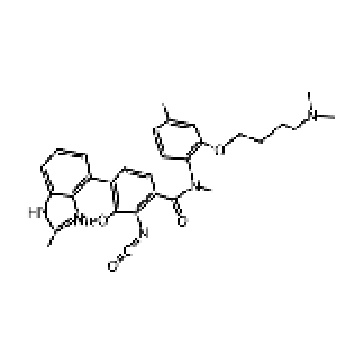 COc1c(-c2cccc3[nH]c(C)nc23)ccc(C(=O)N(C)c2ccc(C)cc2OCCCCN(C)C)c1N=C=O